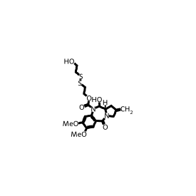 C=C1C[C@H]2C(O)N(C(=O)OCCSSCCO)c3cc(OC)c(OC)cc3C(=O)N2C1